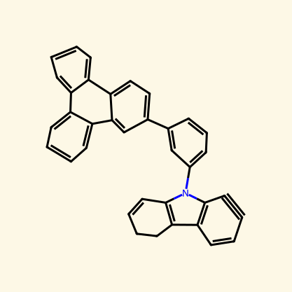 c1ccc2c3c(n(-c4cccc(-c5ccc6c7ccccc7c7ccccc7c6c5)c4)c2c#1)C=CCC3